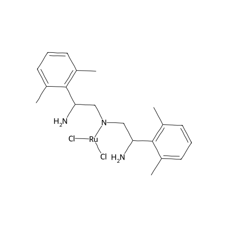 Cc1cccc(C)c1C(N)C[N](CC(N)c1c(C)cccc1C)[Ru]([Cl])[Cl]